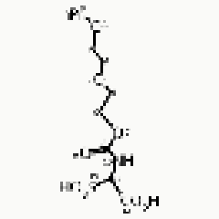 CCCOCCOCCOC(=O)NC(C(=O)O)S(=O)(=O)O